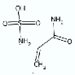 C=CC(N)=O.NS(=O)(=O)O